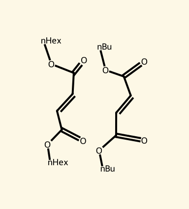 CCCCCCOC(=O)C=CC(=O)OCCCCCC.CCCCOC(=O)C=CC(=O)OCCCC